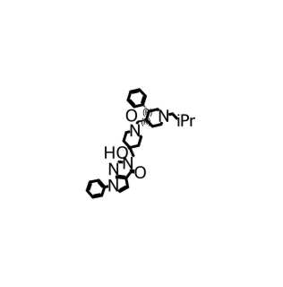 CC(C)CN1CC[C@@H](C(=O)N2CCC(O)(Cn3cnc4c(ccn4-c4ccccc4)c3=O)CC2)[C@H](c2ccccc2)C1